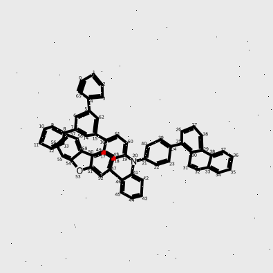 c1cccc(-c2cc(-c3ccccc3)cc(-c3ccc(N(c4ccc(-c5cccc6c5ccc5ccccc56)cc4)c4ccccc4-c4ccc5c(c4)oc4ccccc45)cc3)c2)c#1